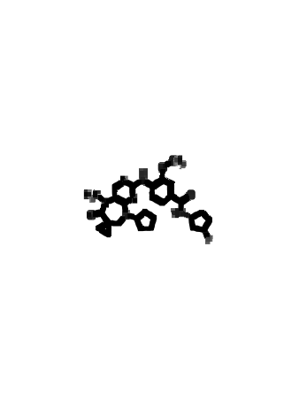 COc1cc(C(=O)N[C@@H]2CC[C@@H](F)C2)ccc1Nc1ncc2c(n1)N(C1CCCC1)CC1(CC1)C(=O)N2C